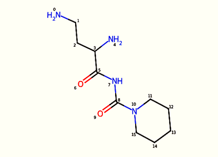 NCCC(N)C(=O)NC(=O)N1CCCCC1